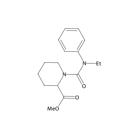 CCN(C(=O)N1CCCCC1C(=O)OC)c1ccccc1